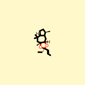 C/C=C/[C@]1(CC)O[C@H]2CC3[C@H](C)CC[C@H]3C(C)(C)C[C@@]2(C)O1